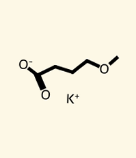 COCCCC(=O)[O-].[K+]